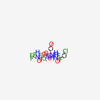 COc1ccc(C(NC(=O)C(C)NC(=O)C(F)(F)c2cccc(Cl)c2)C(=O)N[C@H](C(=O)C(F)(F)C(=O)NCC(F)(F)F)C(C)C)cc1